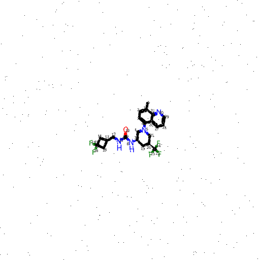 Cc1ccc(N2C[C@H](NC(=O)NCC3CC(F)(F)C3)C[C@H](C(F)(F)F)C2)c2cccnc12